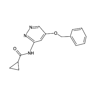 O=C(Nc1cc(OCc2ccccc2)cnn1)C1CC1